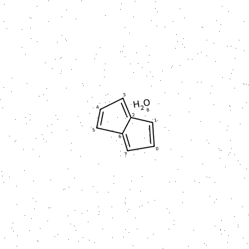 C1=CC2=CC=CC2=C1.O